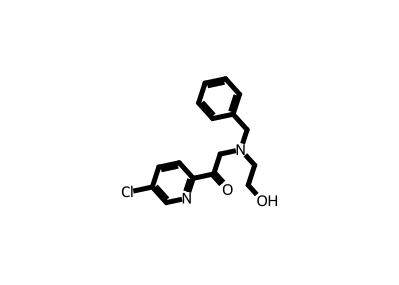 O=C(CN(CCO)Cc1ccccc1)c1ccc(Cl)cn1